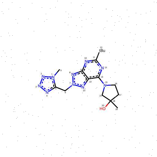 Cn1nnnc1Cn1nc2nc(C(C)(C)C)nc(N3CCC(C)(O)C3)c2n1